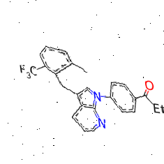 CCC(=O)c1ccc(-n2cc(Cc3c(C)cccc3C(F)(F)F)c3cccnc32)cc1